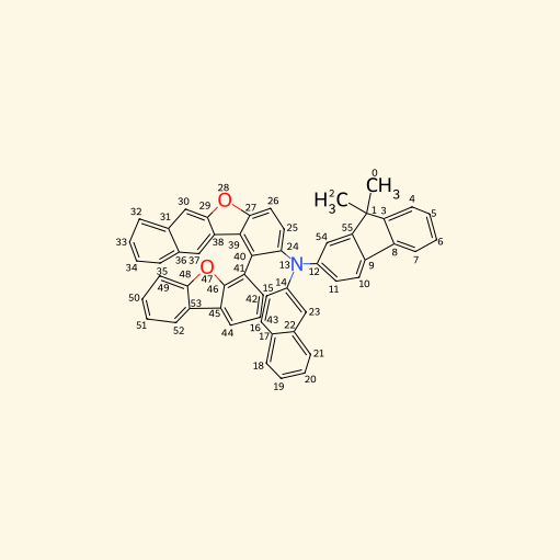 CC1(C)c2ccccc2-c2ccc(N(c3ccc4ccccc4c3)c3ccc4oc5cc6ccccc6cc5c4c3-c3cccc4c3oc3ccccc34)cc21